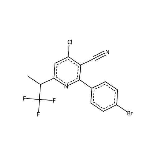 CC(c1cc(Cl)c(C#N)c(-c2ccc(Br)cc2)n1)C(F)(F)F